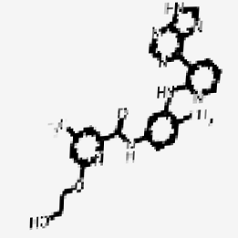 Cc1ccc(NC(=O)c2cc(C(F)(F)F)cc(OCCO)n2)cc1Nc1ncccc1-c1ncnc2[nH]cnc12